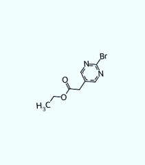 CCOC(=O)Cc1cnc(Br)nc1